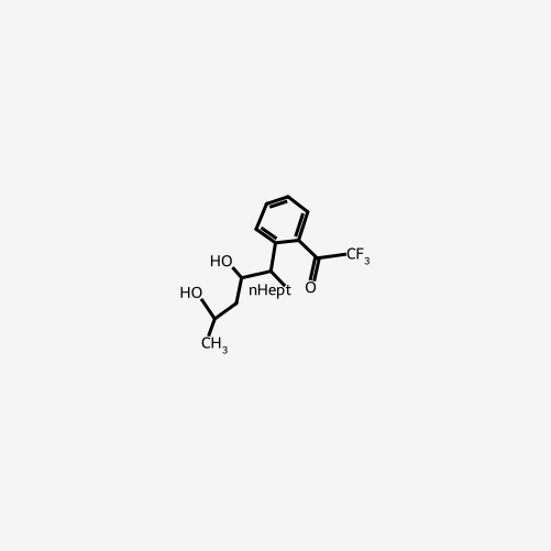 CCCCCCCC(c1ccccc1C(=O)C(F)(F)F)C(O)CC(C)O